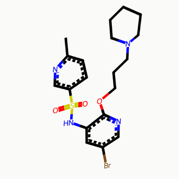 Cc1ccc(S(=O)(=O)Nc2cc(Br)cnc2OCCCN2CCCCC2)cn1